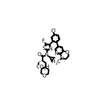 CN1CCOc2cc(-c3ccc(Cl)cc3-c3nc(N(C(=O)[C@@H](CC(=O)O)CC4CCOCC4)C4CC4)sc3F)cnc21